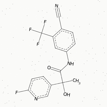 CC(O)(C(=O)Nc1ccc(C#N)c(C(F)(F)F)c1)c1ccc(F)nc1